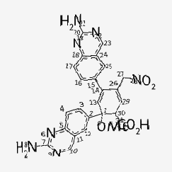 COC1(c2ccc3nc(N)ncc3c2)C=C(c2ccc3nc(N)ncc3c2)C(C[N+](=O)[O-])=CC1C(=O)O